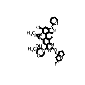 C[C@@H]1C[C@@H]1c1c(Cl)cc2c(cnn2C2CCCCO2)c1-c1c(F)cc2c(N3CCOC[C@@](C)(O)C3)nc(OC[C@@]34CCCN3C[C@H](F)C4)nc2c1F